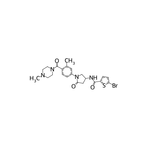 Cc1cc(N2CC(NC(=O)c3ccc(Br)s3)CC2=O)ccc1C(=O)N1CCN(C)CC1